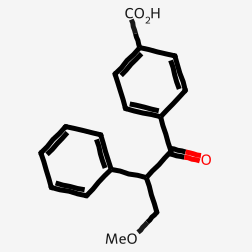 COCC(C(=O)c1ccc(C(=O)O)cc1)c1ccccc1